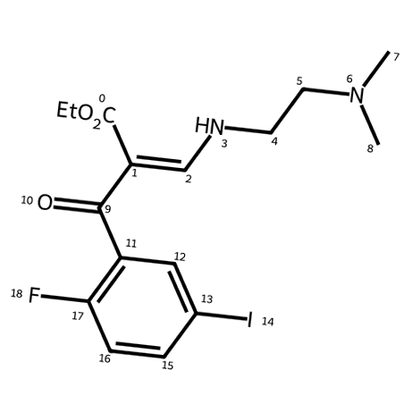 CCOC(=O)C(=CNCCN(C)C)C(=O)c1cc(I)ccc1F